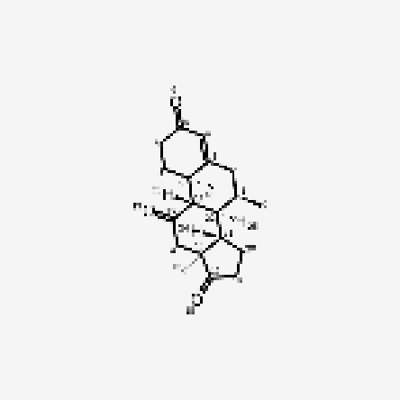 C[C@@H]1CC2=CC(=O)CC[C@]2(C)[C@H]2C(=O)C[C@]3(C)C(=O)CC[C@H]3[C@H]12